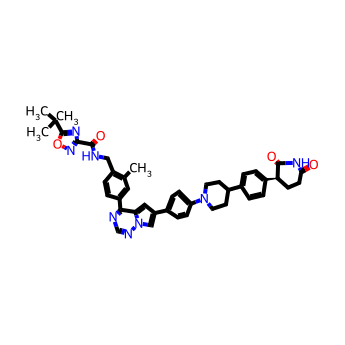 Cc1cc(-c2ncnn3cc(-c4ccc(N5CCC(c6ccc([C@@H]7CCC(=O)NC7=O)cc6)CC5)cc4)cc23)ccc1CNC(=O)c1noc(C(C)(C)C)n1